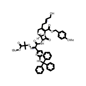 COc1ccc(COC(=O)C2=C(C/C=C/CO)CS[C@@H]3[C@H](NC(=O)/C(=N\OC(C)(C)C(=O)OC(C)(C)C)c4csc(NC(c5ccccc5)(c5ccccc5)c5ccccc5)n4)C(=O)N23)cc1